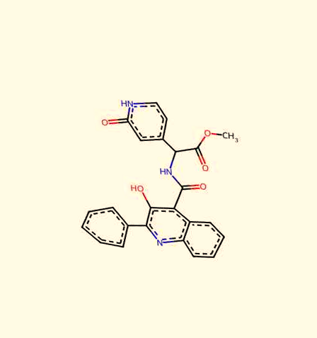 COC(=O)C(NC(=O)c1c(O)c(-c2ccccc2)nc2ccccc12)c1cc[nH]c(=O)c1